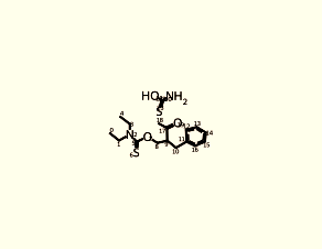 CCN(CC)C(=S)OCC(Cc1ccccc1)C(C)=O.NC(O)=S